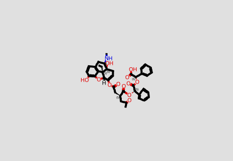 CC[C@]12c3c4ccc(O)c3O[C@H]1C(OC(=O)C[C@H](CC(C)=O)C(=O)O[C@H](C(=O)O[C@H](C(=O)O)c1ccccc1)c1ccccc1)=CC[C@@]2(O)[C@H](NC)C4